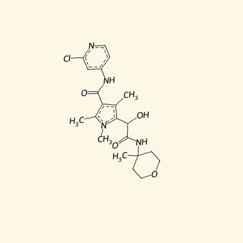 Cc1c(C(=O)Nc2ccnc(Cl)c2)c(C)n(C)c1C(O)C(=O)NC1(C)CCOCC1